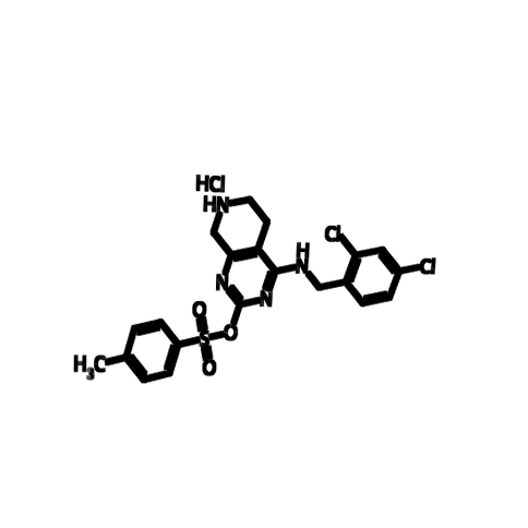 Cc1ccc(S(=O)(=O)Oc2nc3c(c(NCc4ccc(Cl)cc4Cl)n2)CCNC3)cc1.Cl